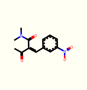 CC(=O)C(=Cc1cccc([N+](=O)[O-])c1)C(=O)N(C)C